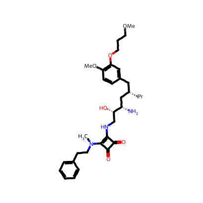 COCCCOc1cc(C[C@@H](C[C@H](N)[C@@H](O)CNc2c(N(C)CCc3ccccc3)c(=O)c2=O)C(C)C)ccc1OC